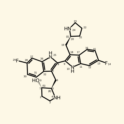 O[C@H]1CCN[C@@H]1Cc1c(-c2[nH]c3cc(F)ccc3c2C[C@@H]2CCCN2)[nH]c2cc(F)ccc12